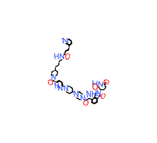 NC(C(=O)N1CCN(C2CCN(c3ccc(C(=O)N4CCC(CCCCNC(=O)/C=C/c5cccnc5)CC4)nn3)CC2)CC1)c1cccc2c1CN(C1CCC(=O)NC1=O)C2=O